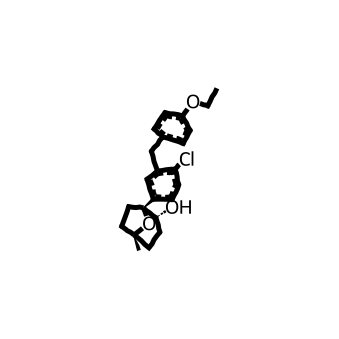 CCOc1ccc(Cc2cc([C@@]34CC[C@@](C)(CC[C@H]3O)O4)ccc2Cl)cc1